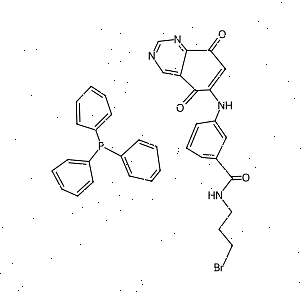 O=C(NCCCBr)c1cccc(NC2=CC(=O)c3ncncc3C2=O)c1.c1ccc(P(c2ccccc2)c2ccccc2)cc1